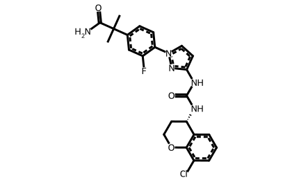 CC(C)(C(N)=O)c1ccc(-n2ccc(NC(=O)N[C@H]3CCOc4c(Cl)cccc43)n2)c(F)c1